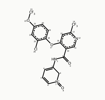 O=C(NC1=CC=C[N+](=O)C1)c1cnc(C(F)(F)F)cc1Oc1ccc(OC(F)(F)F)cc1Cl